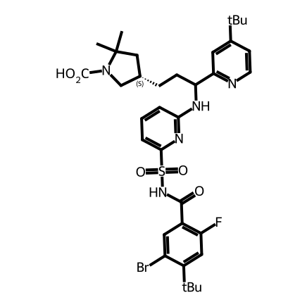 CC(C)(C)c1ccnc(C(CC[C@@H]2CN(C(=O)O)C(C)(C)C2)Nc2cccc(S(=O)(=O)NC(=O)c3cc(Br)c(C(C)(C)C)cc3F)n2)c1